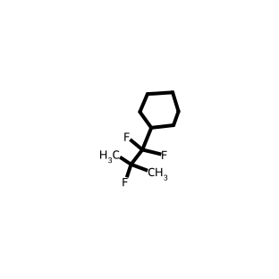 CC(C)(F)C(F)(F)C1CCCCC1